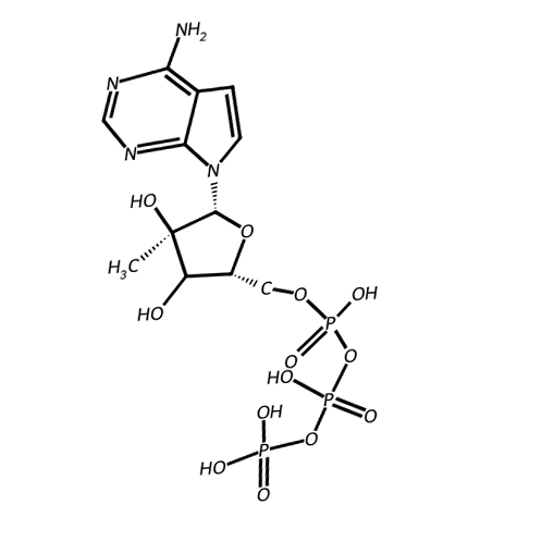 C[C@@]1(O)C(O)[C@@H](COP(=O)(O)OP(=O)(O)OP(=O)(O)O)O[C@H]1n1ccc2c(N)ncnc21